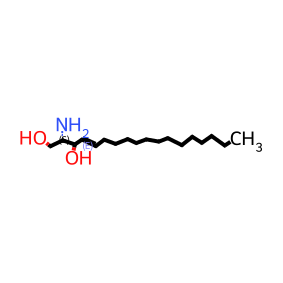 CCCCCCCCCCCCC/C=C/C(O)[C@@H](N)CO